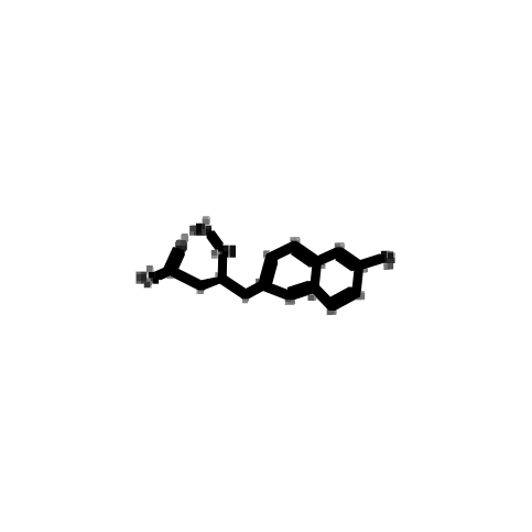 CCCCN[C@H](CC(N)=O)Cc1ccc2cc(CC)ccc2c1